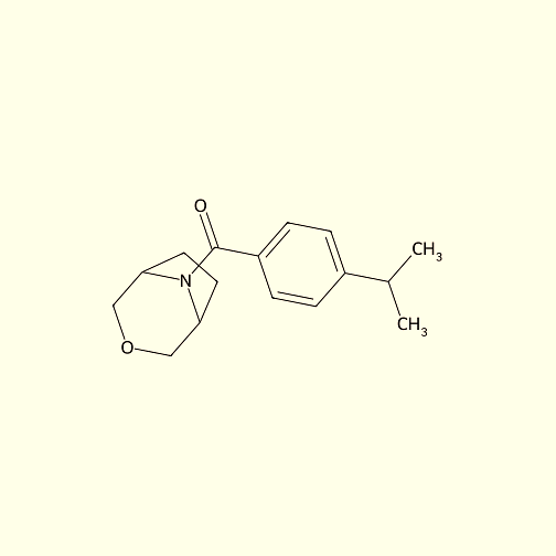 CC(C)c1ccc(C(=O)N2C3CCC2COC3)cc1